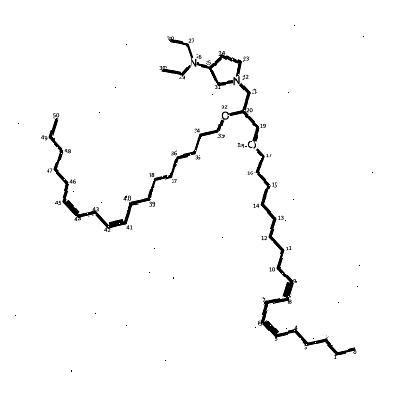 CCCCC/C=C\C/C=C\CCCCCCCCOCC(CN1CCC(N(CC)CC)C1)OCCCCCCCC/C=C\C/C=C\CCCCC